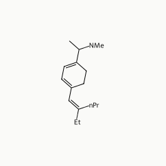 CCC/C(=C\C1=CC=C(C(C)NC)CC1)CC